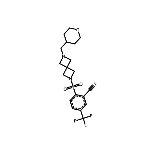 N#Cc1cc(C(F)(F)F)ccc1S(=O)(=O)N1CC2(CN(CC3CCOCC3)C2)C1